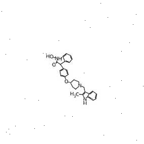 Cc1[nH]c2ccccc2c1CN1CCC(Oc2ccc(C(C(=O)NO)c3ccccc3)cc2)CC1